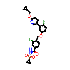 O=C(NS(=O)(=O)C1CC1)c1ccc(COc2ccc(F)c(-c3ccc(OCC4CC4)nc3)c2)c(F)c1